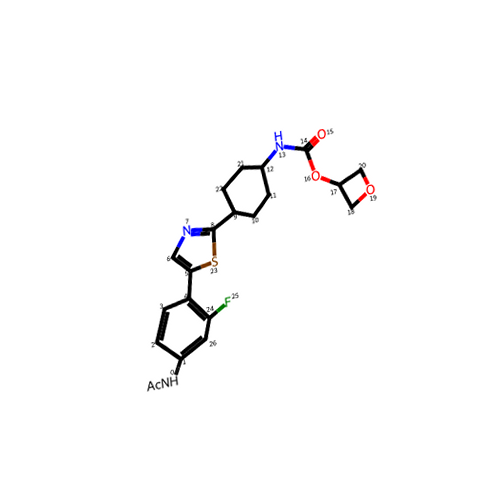 CC(=O)Nc1ccc(-c2cnc(C3CCC(NC(=O)OC4COC4)CC3)s2)c(F)c1